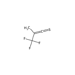 CC(=C=S)C(F)(F)F